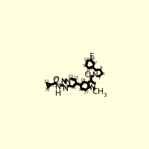 Cn1cc(C(=O)N2CCCC2c2cccc(F)c2)c2cc(-c3ccn4nc(NC(=O)C5CC5)nc4c3)ccc21